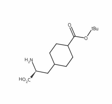 CC(C)(C)OC(=O)C1CCC(C[C@H](N)C(=O)O)CC1